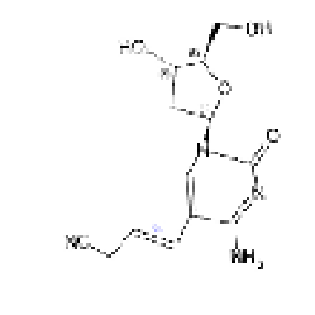 N#CC/C=C/c1cn([C@H]2C[C@H](O)[C@@H](CO)O2)c(=O)nc1N